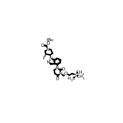 CC(C)(C)OC(=O)N1CC[C@@H](n2ncc3c(N4CCC(=O)N(COCC[Si](C)(C)C)C4=O)cccc32)[C@@H](F)C1